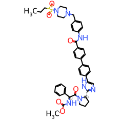 CCCS(=O)(=O)N1CCN(Cc2ccc(NC(=O)c3ccc(-c4ccc(-c5cnc([C@@H]6CCCN6C(=O)[C@@H](NC(=O)OC)c6ccccc6)[nH]5)cc4)cc3)cc2)CC1